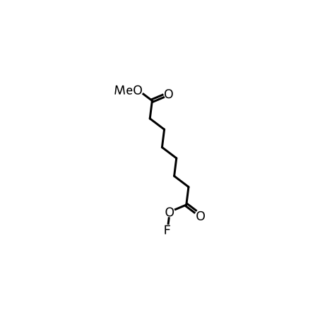 COC(=O)CCCCCCC(=O)OF